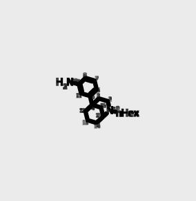 CCCCCCN1CCC2(c3cccc(N)c3)CCCC1C2